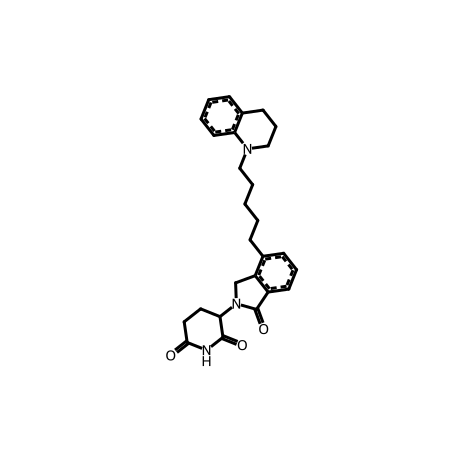 O=C1CCC(N2Cc3c(CCCCCN4CCCc5ccccc54)cccc3C2=O)C(=O)N1